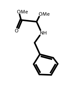 COC(=O)C(NCc1ccccc1)OC